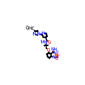 CC(C)(COc1cccc2c1C(N)=NS(=O)(=O)N2)NC(=O)c1ccnc(-n2cnc(C=O)c2)c1